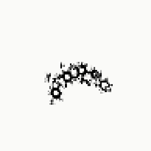 CC(Oc1cc(-c2nn(C)c3c(-c4cnn(C5CCOCC5)c4)cnc(N)c23)ccc1N)c1ccc(F)cc1